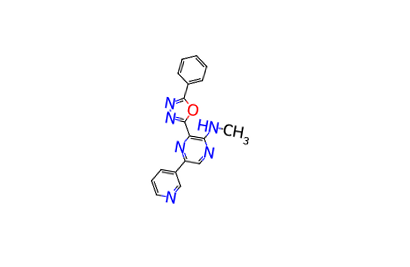 CNc1ncc(-c2cccnc2)nc1-c1nnc(-c2ccccc2)o1